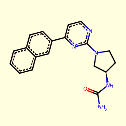 NC(=O)N[C@@H]1CCN(c2nccc(-c3ccc4ccccc4c3)n2)C1